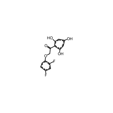 O=C(COc1ccc(F)cc1F)c1c(O)cc(O)cc1O